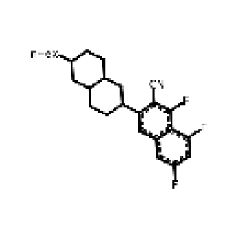 CCCCCCC1CCC2CC(c3cc4cc(F)cc(F)c4c(F)c3C#N)CCC2C1